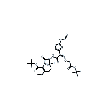 C=CC1=C(C(=O)OC(C)(C)C)N2C(=O)[C@@H](NC(=O)/C(=N\OCC(=O)OC(C)(C)C)c3csc(NC=O)n3)[C@@H]2SC1